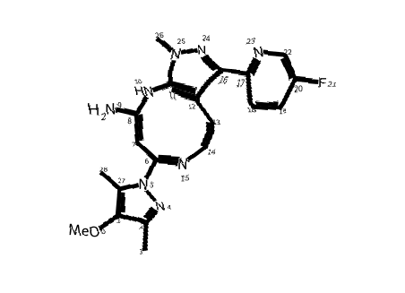 COc1c(C)nn(-c2cc(N)[nH]c3c(ccn2)c(-c2ccc(F)cn2)nn3C)c1C